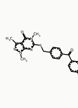 Cc1nn(C)c2nc(SCc3ccc(C(=O)c4ccc(Cl)cc4)cc3)n(C)c(=O)c12